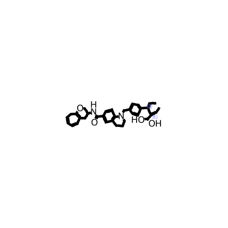 C/C=C(\C(=C/C)C(O)O)c1ccc(CN2CCCc3cc(C(=O)NC4COC5=C(C=CC=CC5)C4)ccc32)cc1